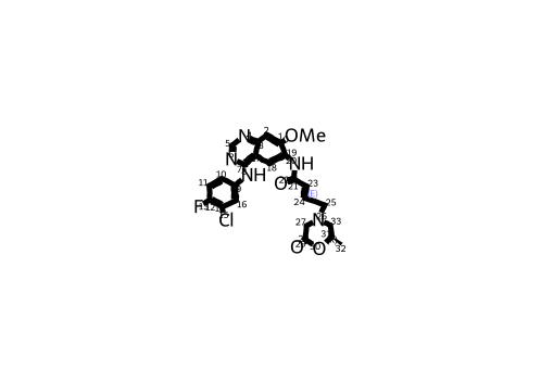 COc1cc2ncnc(Nc3ccc(F)c(Cl)c3)c2cc1NC(=O)/C=C/CN1CC(=O)O[C@H](C)C1